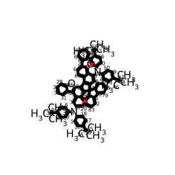 CC(C)(C)c1ccc(N(c2ccc(C(C)(C)C)cc2)c2ccc3c4c(c5oc6ccccc6c5c3c2)-c2c(cc(N(c3ccc(C(C)(C)C)cc3)c3ccc(C(C)(C)C)cc3)c3c2ccc2c5ccccc5oc23)C42c3ccccc3-c3ccccc32)cc1